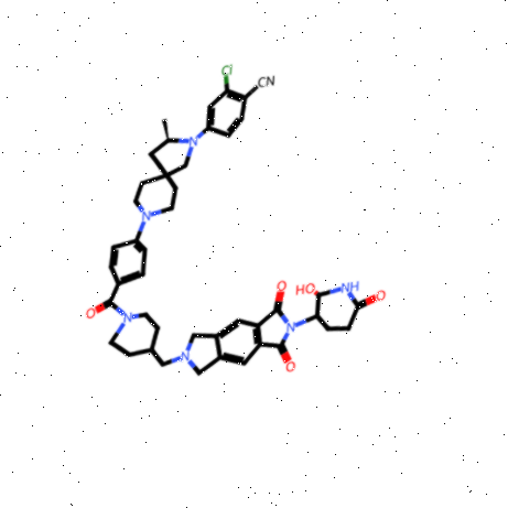 C[C@@H]1CC2(CCN(c3ccc(C(=O)N4CCC(CN5Cc6cc7c(cc6C5)C(=O)N(C5CCC(=O)NC5O)C7=O)CC4)cc3)CC2)CN1c1ccc(C#N)c(Cl)c1